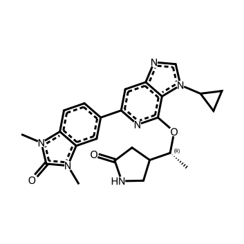 C[C@@H](Oc1nc(-c2ccc3c(c2)n(C)c(=O)n3C)cc2ncn(C3CC3)c12)C1CNC(=O)C1